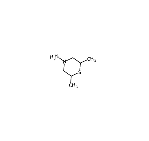 CC1CN(N)CC(C)S1